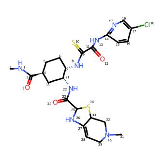 CNC(=O)[C@H]1CC[C@H](NC(=S)C(=O)Nc2ccc(Cl)cn2)[C@H](NC(=O)C2NC3=CCN(C)CC3S2)C1